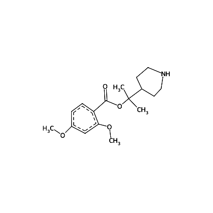 COc1ccc(C(=O)OC(C)(C)C2CCNCC2)c(OC)c1